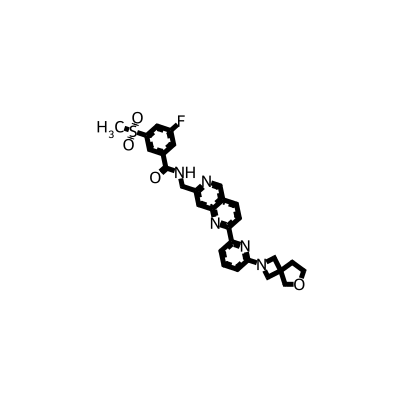 CS(=O)(=O)c1cc(F)cc(C(=O)NCc2cc3nc(-c4cccc(N5CC6(CCOC6)C5)n4)ccc3cn2)c1